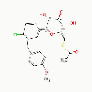 COc1ccc(Cc2cc([C@@H]3O[C@H](CSC(C)=O)[C@@H](O)[C@H](O)[C@H]3O)ccc2Cl)cc1